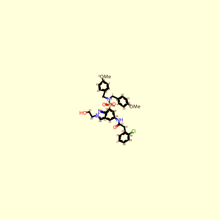 COc1ccc(CN(Cc2ccc(OC)cc2)S(=O)(=O)c2cc(NC(=O)Cc3ccccc3Cl)cc3cn(CCO)nc23)cc1